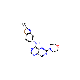 Cc1nc2cc(Nc3ncnc4cnc(N5CCOCC5)nc34)ccc2s1